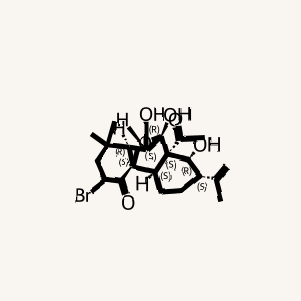 C=C(C)[C@@H]1CC[C@H]2[C@@]34CO[C@@](O)([C@@H](O)[C@@H]3C(C)(C)CC(Br)C4=O)[C@@]2(C(C)=O)[C@@H]1O